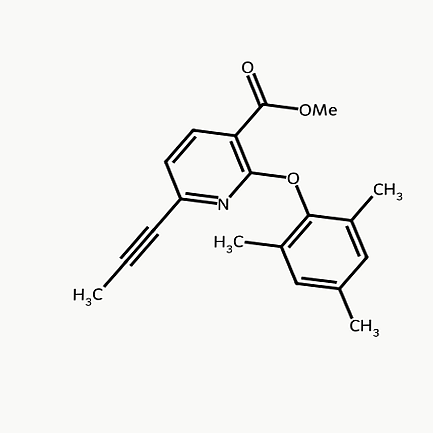 CC#Cc1ccc(C(=O)OC)c(Oc2c(C)cc(C)cc2C)n1